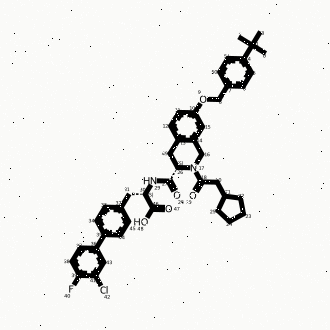 CC(C)(C)c1ccc(COc2ccc3c(c2)CN(C(=O)CC2CCCC2)[C@H](C(=O)N[C@@H](Cc2ccc(-c4ccc(F)c(Cl)c4)cc2)C(=O)O)C3)cc1